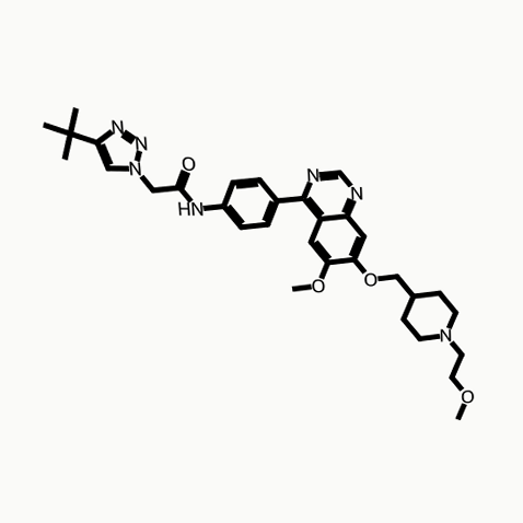 COCCN1CCC(COc2cc3ncnc(-c4ccc(NC(=O)Cn5cc(C(C)(C)C)nn5)cc4)c3cc2OC)CC1